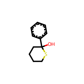 OC1(c2ccccc2)CCCCS1